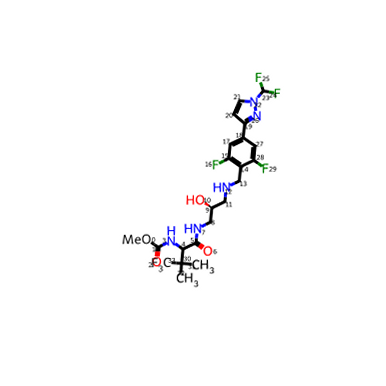 COC(=O)NC(C(=O)NC[C@@H](O)CNCc1c(F)cc(-c2ccn(C(F)F)n2)cc1F)C(C)(C)C(F)(F)F